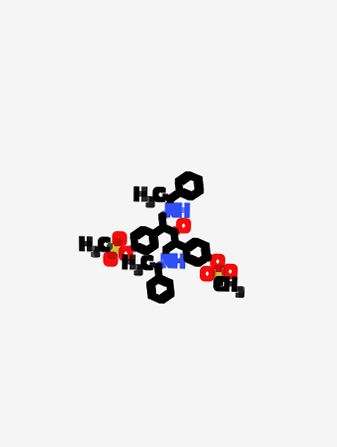 C[C@H](NCC(C(=O)C(CN[C@@H](C)c1ccccc1)c1ccc(OS(C)(=O)=O)cc1)c1ccc(OS(C)(=O)=O)cc1)c1ccccc1